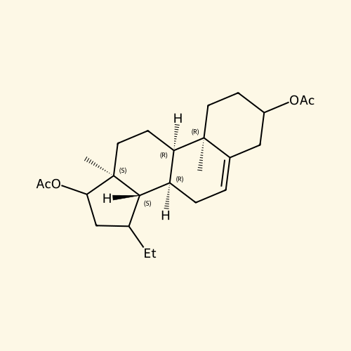 CCC1CC(OC(C)=O)[C@@]2(C)CC[C@@H]3[C@@H](CC=C4CC(OC(C)=O)CC[C@@]43C)[C@H]12